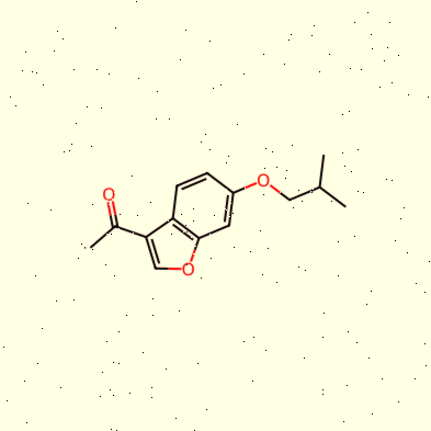 [CH2]C(=O)c1coc2cc(OCC(C)C)ccc12